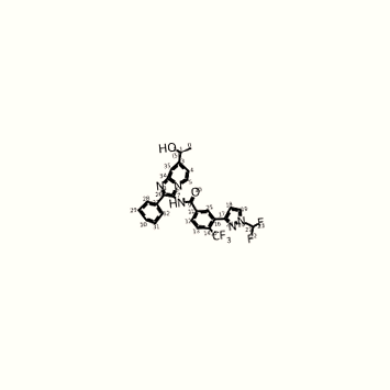 C[C@H](O)c1ccn2c(NC(=O)c3ccc(C(F)(F)F)c(-c4ccn(C(F)F)n4)c3)c(-c3ccccc3)nc2c1